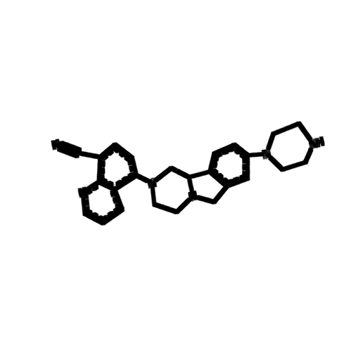 N#Cc1ccc(N2CCN3Cc4cc(N5CCNCC5)ccc4C3C2)c2cccnc12